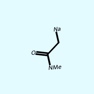 CNC(=O)[CH2][Na]